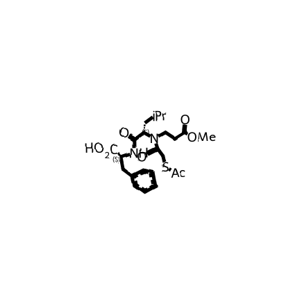 COC(=O)CCN(C(=O)CSC(C)=O)[C@@H](CC(C)C)C(=O)N[C@@H](Cc1ccccc1)C(=O)O